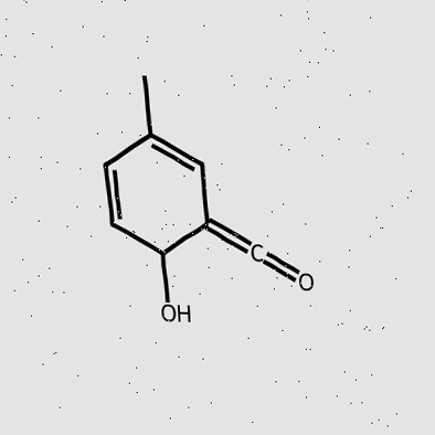 CC1=CC(=C=O)C(O)C=C1